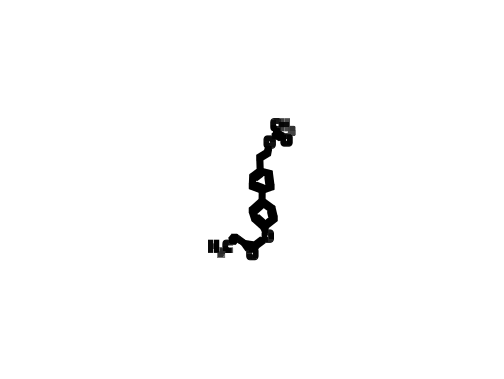 C=C[C@@H]1OC1Oc1ccc(-c2ccc(CCOC(C)=O)cc2)cc1